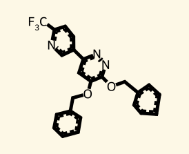 FC(F)(F)c1ccc(-c2cc(OCc3ccccc3)c(OCc3ccccc3)nn2)cn1